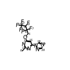 Cc1nc(OCC(F)(F)C(F)C(F)(F)F)cc(-n2cncn2)n1